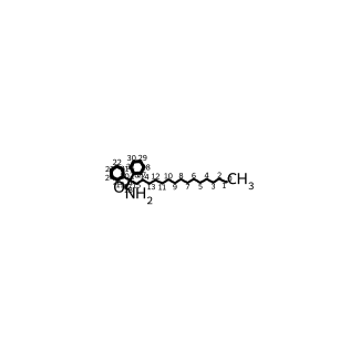 CCCCCCCCCCCCCCCCC(C(N)=O)(c1ccccc1)c1ccccc1